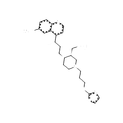 COc1ccc2nccc([C@@H](F)CC[C@@H]3CCN(CCCSc4ncco4)C[C@@H]3CC(=O)O)c2c1